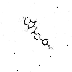 COc1ccc(N2CCN(C(=O)ON3C(=O)C4CNCCN4[C@H]3O)CC2)cc1